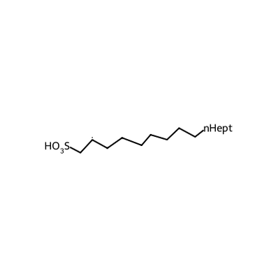 CCCCCCCCCCCCCC[CH]CS(=O)(=O)O